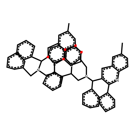 Cc1ccc2nc(-c3ccccc3)c(C(c3ccccc3)N(Cc3ccccc3)CC(C(=O)C(CN(Cc3ccccc3)C(c3ccccc3)c3cc4cc(C)ccc4nc3-c3ccccc3)N3CCCCC3)N3CCCCC3)cc2c1